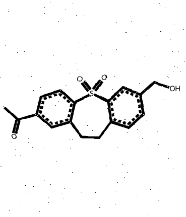 CC(=O)c1ccc2c(c1)CCc1ccc(CO)cc1S2(=O)=O